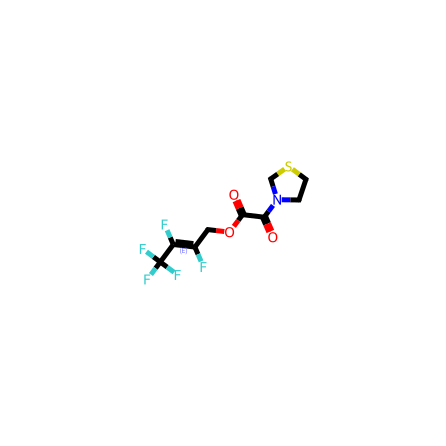 O=C(OC/C(F)=C(\F)C(F)(F)F)C(=O)N1CCSC1